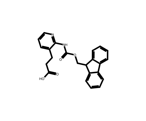 O=C(O)CCc1cccnc1NC(=O)OCC1c2ccccc2-c2ccccc21